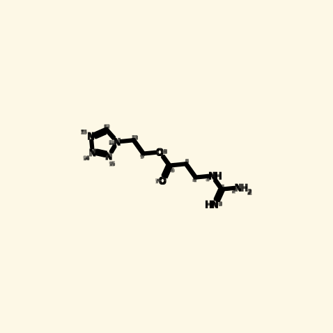 N=C(N)NCCC(=O)OCCn1cnnn1